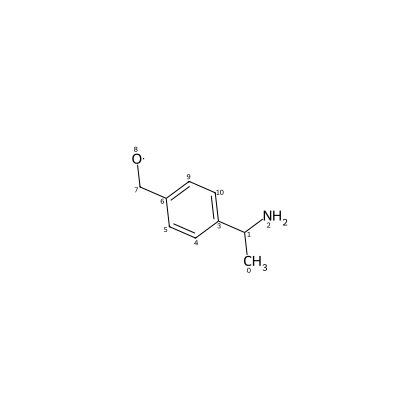 CC(N)c1ccc(C[O])cc1